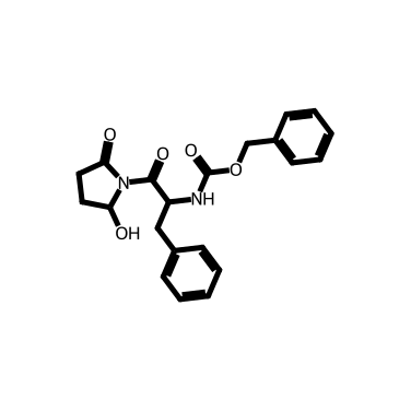 O=C(NC(Cc1ccccc1)C(=O)N1C(=O)CCC1O)OCc1ccccc1